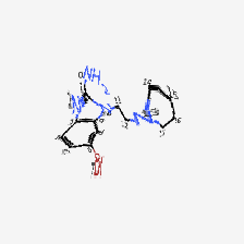 Nc1nc2ccc(Br)cc2n1CCN1CCCC1